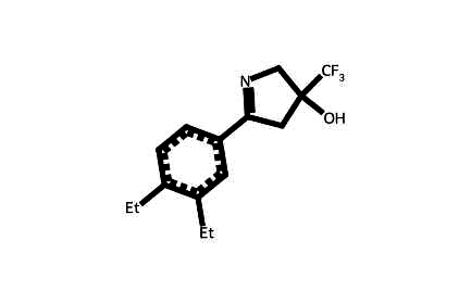 CCc1ccc(C2=NCC(O)(C(F)(F)F)C2)cc1CC